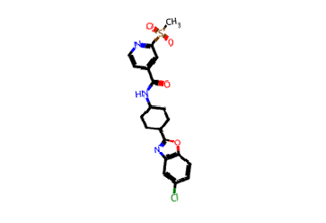 CS(=O)(=O)c1cc(C(=O)NC2CCC(c3nc4cc(Cl)ccc4o3)CC2)ccn1